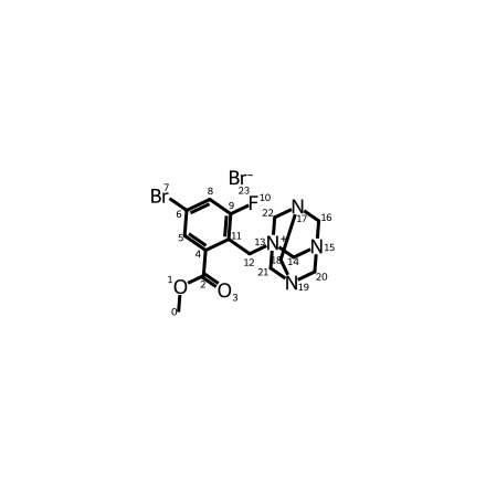 COC(=O)c1cc(Br)cc(F)c1C[N+]12CN3CN(CN(C3)C1)C2.[Br-]